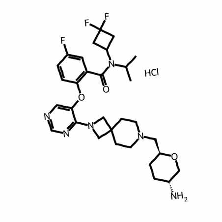 CC(C)N(C(=O)c1cc(F)ccc1Oc1cncnc1N1CC2(CCN(C[C@@H]3CC[C@@H](N)CO3)CC2)C1)C1CC(F)(F)C1.Cl